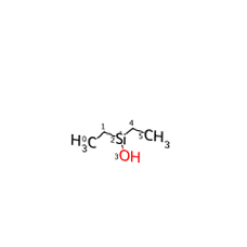 CC[Si](O)CC